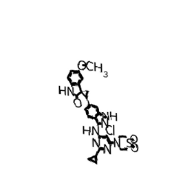 COc1ccc2c(c1)[C@]1(C[C@H]1c1ccc3c(Nc4nc(C5CC5)nc(N5CCS(=O)(=O)CC5)c4Cl)n[nH]c3c1)C(=O)N2